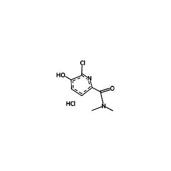 CN(C)C(=O)c1ccc(O)c(Cl)n1.Cl